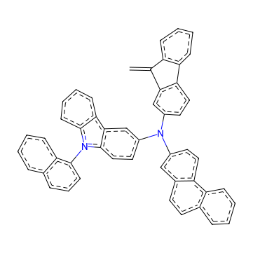 C=C1c2ccccc2-c2ccc(N(c3ccc4c(ccc5ccccc54)c3)c3ccc4c(c3)c3ccccc3n4-c3cccc4ccccc34)cc21